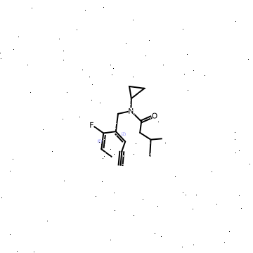 C#C/C=C(CN(C(=O)CC(C)C)C1CC1)\C(F)=C/C